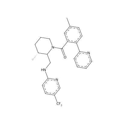 Cc1ccc(-c2ccccn2)c(C(=O)N2CCC[C@@H](C)C2CNc2ccc(C(F)(F)F)cn2)c1